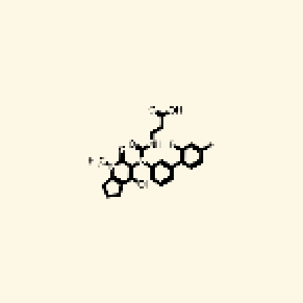 Cn1c2c(c(O)c(N(C(=O)NCCC(=O)O)c3cccc(-c4ccc(F)cc4F)c3)c1=O)CCC2